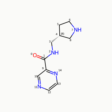 O=C(NC[C@@H]1CCNC1)c1cnccn1